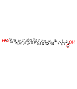 O=C(O)CCCCCCCCCCCCCCCCCCCCCCCCCCCCCCCO